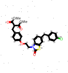 COC(=O)C(Cc1ccc(OCCn2c(=O)sc3cc(Cc4ccc(Cl)cc4)ccc32)cc1)C(=O)OC